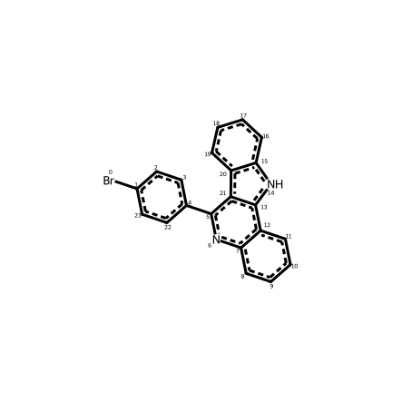 Brc1ccc(-c2nc3ccccc3c3[nH]c4ccccc4c23)cc1